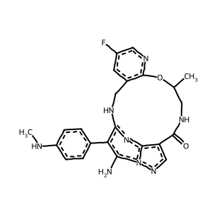 CNc1ccc(-c2c3nc4c(cnn4c2N)C(=O)NCC(C)Oc2ncc(F)cc2CN3)cc1